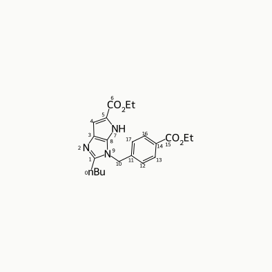 CCCCc1nc2cc(C(=O)OCC)[nH]c2n1Cc1ccc(C(=O)OCC)cc1